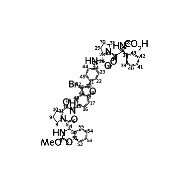 COC(=O)NC(C(=O)N1CCCC1C(=O)Nc1ccc2oc(-c3ccc(NC(=O)[C@@H]4CCCN4C(=O)[C@H](NC(=O)O)c4ccccc4)cc3)c(Br)c2c1)c1ccccc1